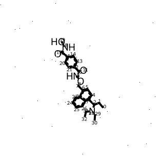 CCC(c1ccc(CONC(=O)c2ccc(C(=O)NO)cc2)c2ccccc12)N(CC)CC